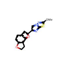 COc1nn2cc(-c3cc4ccc5c(c4o3)CCO5)nc2s1